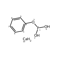 OP(O)Oc1ccccc1.[CaH2]